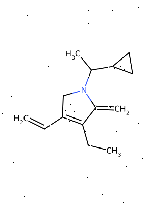 C=CC1=C(CC)C(=C)N(C(C)C2CC2)C1